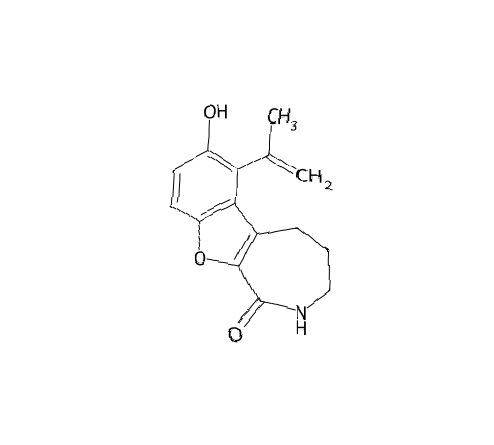 C=C(C)c1c(O)ccc2oc3c(c12)CCCNC3=O